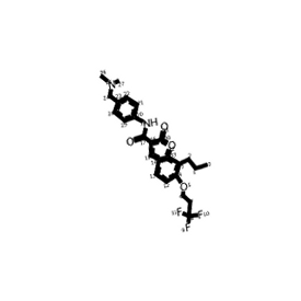 CCCc1c(OCCC(F)(F)F)ccc2cc(C(=O)Nc3ccc(CN(C)C)cc3)c(=O)oc12